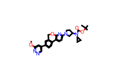 COc1cc(-c2ccc3c(c2)COc2nc(N4CCC(N(C(=O)OC(C)(C)C)C5CC5)C4)ccc2-3)cnn1